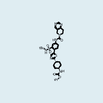 CC(C)OC(=O)N[C@H]1CC[C@H](c2ncc(-c3ccc(NC(=O)N4CCc5ncncc5C4)cc3S(=O)(=O)NC(C)(C)C)s2)CC1